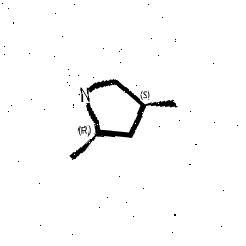 C[C@@H]1C[N][C@H](C)C1